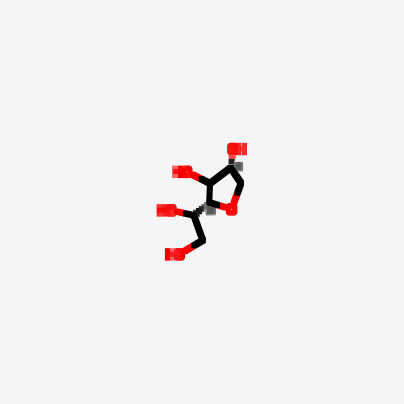 OCC(O)[C@H]1OC[C@@H](O)C1O